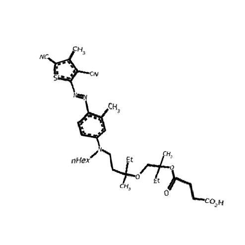 CCCCCCN(CCC(C)(CC)OCC(C)(CC)OC(=O)CCC(=O)O)c1ccc(/N=N/c2sc(C#N)c(C)c2C#N)c(C)c1